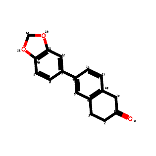 O=C1CCc2cc(-c3ccc4c(c3)OCO4)ccc2C1